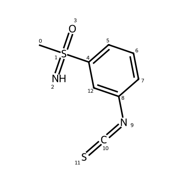 CS(=N)(=O)c1cccc(N=C=S)c1